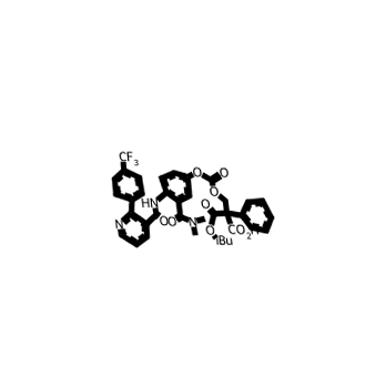 CCC(C)OC(=O)C(COC(=O)Oc1ccc(NC(=O)c2cccnc2-c2ccc(C(F)(F)F)cc2)c(C(=O)N(C)C)c1)(C(=O)O)c1ccccc1